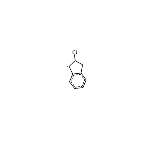 ClC1[CH]c2ccccc2C1